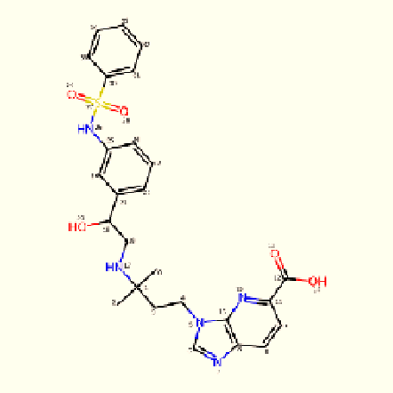 CC(C)(CCn1cnc2ccc(C(=O)O)nc21)NCC(O)c1cccc(NS(=O)(=O)c2ccccc2)c1